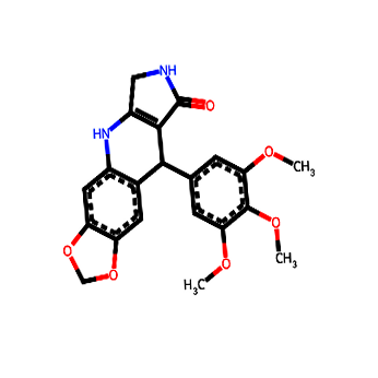 COc1cc(C2C3=C(CNC3=O)Nc3cc4c(cc32)OCO4)cc(OC)c1OC